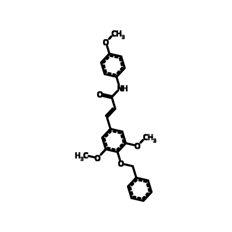 COc1ccc(NC(=O)C=Cc2cc(OC)c(OCc3ccccc3)c(OC)c2)cc1